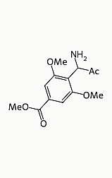 COC(=O)c1cc(OC)c(C(N)C(C)=O)c(OC)c1